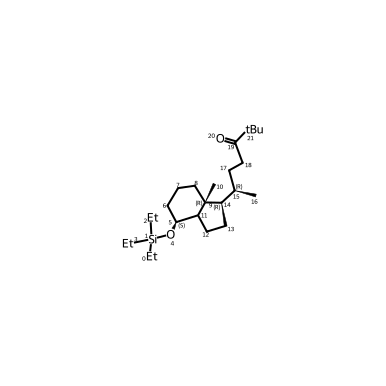 CC[Si](CC)(CC)O[C@H]1CCC[C@@]2(C)C1CC[C@@H]2[C@H](C)CCC(=O)C(C)(C)C